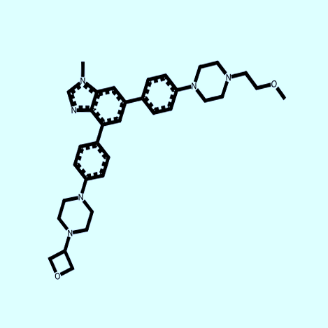 COCCN1CCN(c2ccc(-c3cc(-c4ccc(N5CCN(C6COC6)CC5)cc4)c4ncn(C)c4c3)cc2)CC1